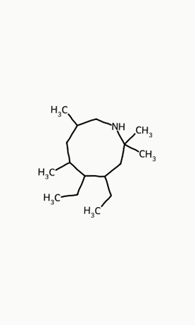 CCC1CC(C)(C)NCC(C)CC(C)C1CC